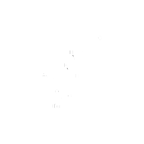 CC(=O)[C@H]1[C@@H](OC(=O)C(C)(C)C)C[C@H]2[C@@H]3CCC4=CC(=O)C=C[C@]4(C)[C@H]3CC[C@@]21C